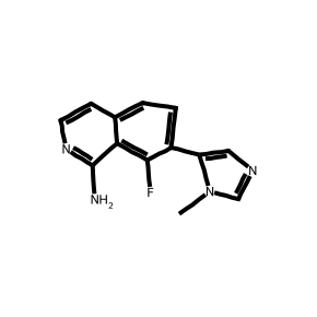 Cn1cncc1-c1ccc2ccnc(N)c2c1F